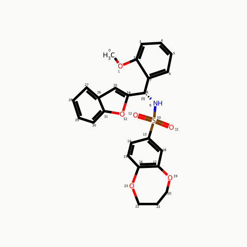 COc1ccccc1[C@H](NS(=O)(=O)c1ccc2c(c1)OCCCO2)c1cc2ccccc2o1